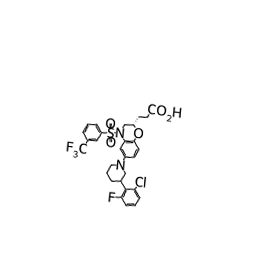 O=C(O)CC[C@H]1CN(S(=O)(=O)c2cccc(C(F)(F)F)c2)c2cc(N3CCCC(c4c(F)cccc4Cl)C3)ccc2O1